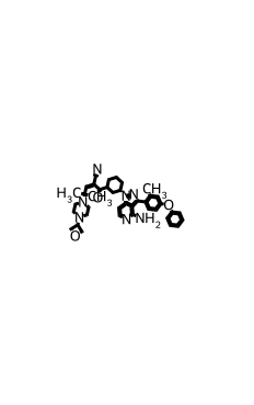 Cc1cc(Oc2ccccc2)ccc1-c1nn([C@@H]2CCCC(C(=O)/C(C#N)=C\C(C)(C)N3CCN(C4COC4)CC3)C2)c2ccnc(N)c12